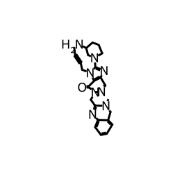 CC#CCn1c(N2CCCC(N)C2)nc2cnn(CC3=Nc4ccccc4CN3C)c(=O)c21